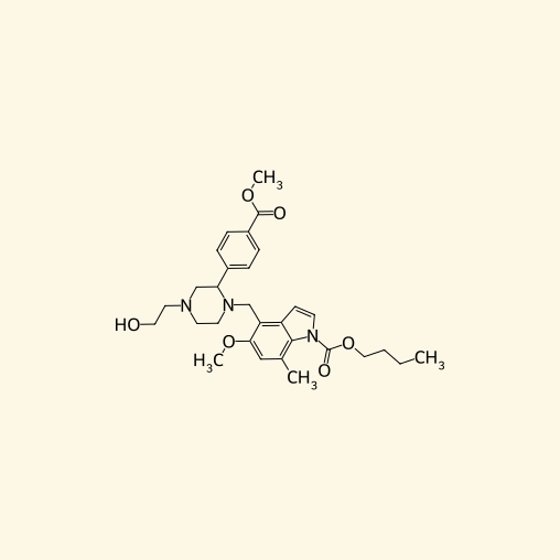 CCCCOC(=O)n1ccc2c(CN3CCN(CCO)CC3c3ccc(C(=O)OC)cc3)c(OC)cc(C)c21